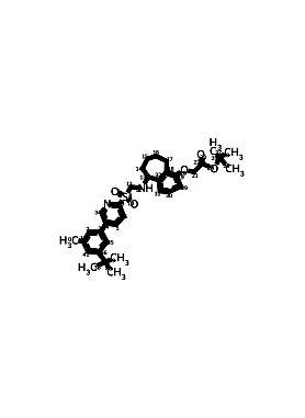 Cc1cc(-c2ccc(S(=O)(=O)CNC3CCCCc4c(OCC(=O)OC(C)(C)C)cccc43)nc2)cc(C(C)(C)C)c1